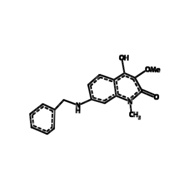 COc1c(O)c2ccc(NCc3ccccc3)cc2n(C)c1=O